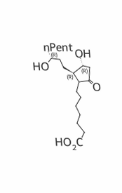 CCCCC[C@@H](O)CC[C@@H]1C(CCCCCCC(=O)O)C(=O)C[C@H]1O